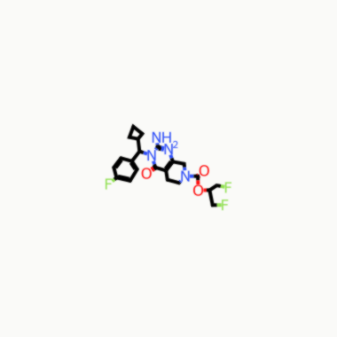 Nc1nc2c(c(=O)n1C(c1ccc(F)cc1)C1CCC1)CCN(C(=O)OC(CF)CF)C2